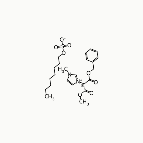 CCCCCCCCOS(=O)(=O)[O-].COC(=O)[C@@H](C(=O)OCc1ccccc1)[n+]1ccn(C)c1